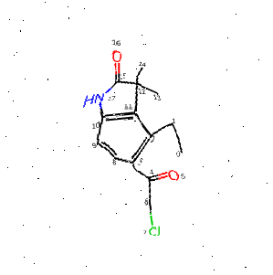 CCc1c(C(=O)CCl)ccc2c1C(C)(C)C(=O)N2